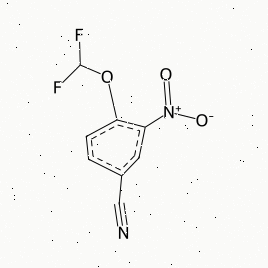 N#Cc1ccc(OC(F)F)c([N+](=O)[O-])c1